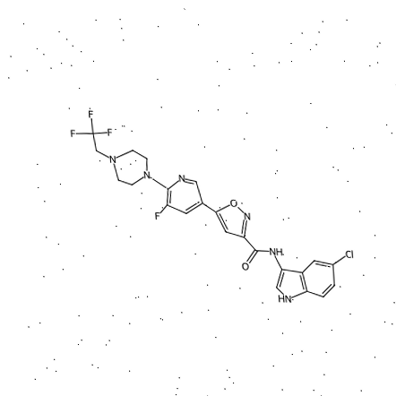 O=C(Nc1c[nH]c2ccc(Cl)cc12)c1cc(-c2cnc(N3CCN(CC(F)(F)F)CC3)c(F)c2)on1